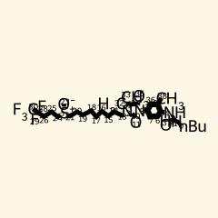 CCCCNC(=O)Nc1ccc(N2C(=O)N(CCCCCCCCC[S+]([O-])CCCC(F)(F)C(F)(F)F)C(C)(C)C2=O)cc1C